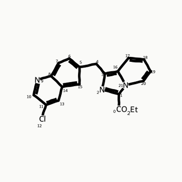 CCOC(=O)c1nc(Cc2ccc3ncc(Cl)cc3c2)c2ccccn12